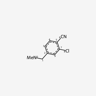 CNCc1ccc(C#N)c(Cl)c1